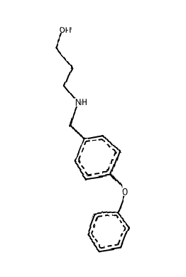 OCCCNCc1ccc(Oc2ccccc2)cc1